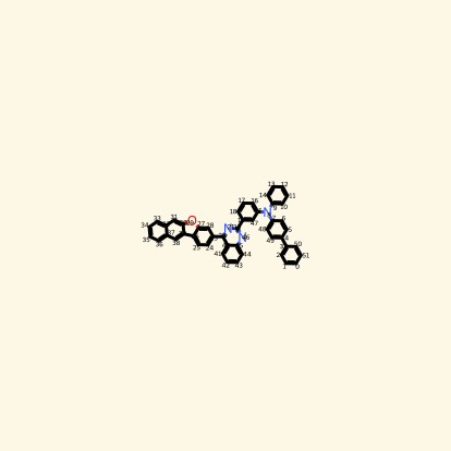 c1ccc(-c2ccc(N(c3ccccc3)c3cccc(-c4nc(-c5ccc6c(c5)oc5cc7ccccc7cc56)c5ccccc5n4)c3)cc2)cc1